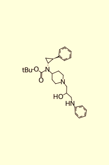 CC(C)(C)OC(=O)N(C1CCN(CC(O)CNc2ccccc2)CC1)[C@@H]1C[C@H]1c1ccccc1